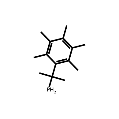 Cc1c(C)c(C)c(C(C)(C)P)c(C)c1C